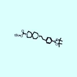 CC(C)(C)OC(=O)N1CCC2(CCN(CCc3ccc(B4OC(C)(C)C(C)(C)O4)cc3)CC2)CC1